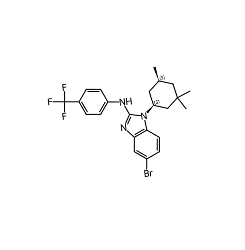 C[C@@H]1C[C@H](n2c(Nc3ccc(C(F)(F)F)cc3)nc3cc(Br)ccc32)CC(C)(C)C1